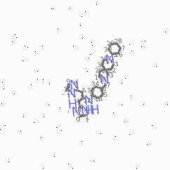 c1c[nH]c(CC(Cc2ncc[nH]2)NC2CCC(CN3CCC4(CCN(C5CCCCC5)CC4)C3)CC2)n1